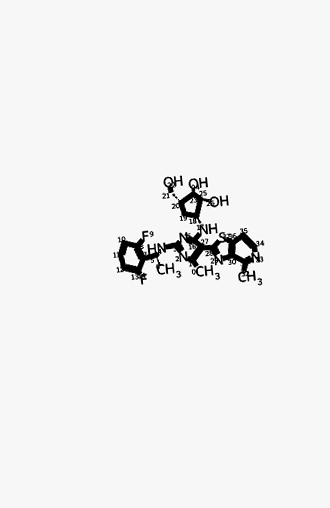 Cc1nc(N[C@H](C)c2c(F)cccc2F)nc(N[C@@H]2C[C@H](CO)[C@@H](O)[C@H]2O)c1-c1nc2c(C)nccc2s1